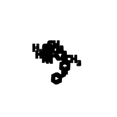 CC1(c2cccc(-c3nn[nH]c3[Si](C)(C)C)c2)CCN(Cc2ccccc2)CC1